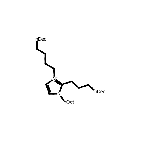 CCCCCCCCCCCCCC[n+]1ccn(CCCCCCCC)c1CCCCCCCCCCCCC